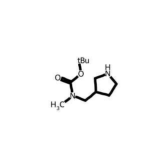 CN(CC1CCNC1)C(=O)OC(C)(C)C